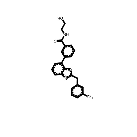 O=C(NCCO)c1cccc(-c2cccc3nc(Cc4cccc(C(F)(F)F)c4)sc23)c1